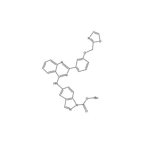 CC(C)(C)OC(=O)n1ncc2cc(Nc3nc(-c4cccc(OCc5ncco5)c4)nc4ccccc34)ccc21